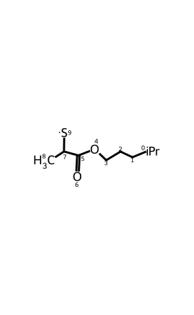 CC(C)CCCOC(=O)C(C)[S]